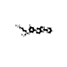 COCCCN(C)Sc1cc(F)cc(N2CCc3nc(-c4ncccn4)ncc3C2)c1